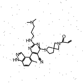 C=CC(=O)N1CC2(CCN(c3nc(NCCCN(C)C)nc(-c4c(C)ccc5[nH]ncc45)c3C#N)C2)C1